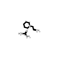 C=CCN1CCCCC1.NC(N)=O